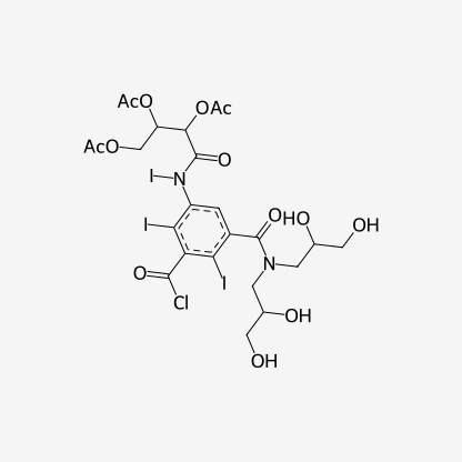 CC(=O)OCC(OC(C)=O)C(OC(C)=O)C(=O)N(I)c1cc(C(=O)N(CC(O)CO)CC(O)CO)c(I)c(C(=O)Cl)c1I